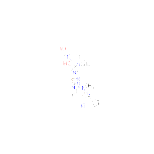 CCc1nc2sc(N3CC[C@@H](N(C)C(C)C(O)N4CC(O)C4)C3)nn2c1N(C)c1nc(-c2ccc(F)cc2)c(C#N)s1